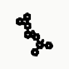 Cc1c(-c2ccccc2)cc(-c2ccccc2)nc1-c1ccc2oc3c(-c4ccc5c6ccccc6c6ccccc6c5c4)cccc3c2c1